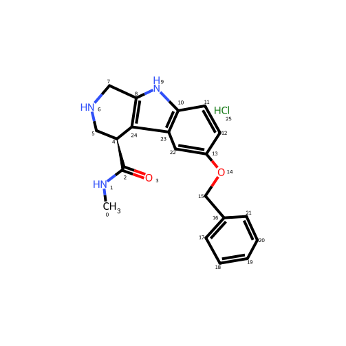 CNC(=O)[C@H]1CNCc2[nH]c3ccc(OCc4ccccc4)cc3c21.Cl